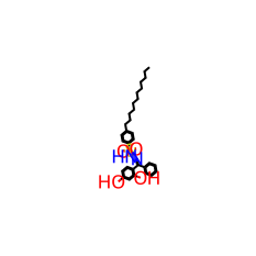 CCCCCCCCCCCCc1ccc(S(=O)(=O)NN=C(c2ccccc2)c2ccc(O)cc2O)cc1